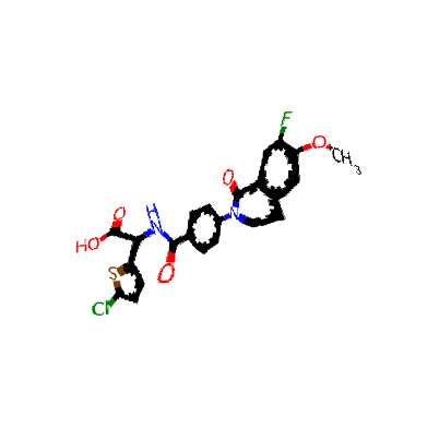 COc1cc2ccn(-c3ccc(C(=O)NC(C(=O)O)c4ccc(Cl)s4)cc3)c(=O)c2cc1F